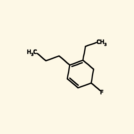 CCCC1=C(CC)CC(F)C=C1